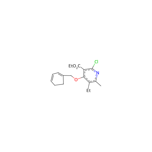 CCOC(=O)c1c(Cl)nc(C)c(CC)c1OCC1=CC=CCC1